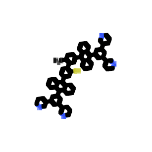 Cc1ccc(-c2c3ccccc3c(C3=CC(c4cccnc4)CC(c4cccnc4)=C3)c3ccccc23)cc1-c1ccc(-c2c3ccccc3c(-c3cc(C4=CCCN=C4)cc(C4=CN=CCC4)c3)c3ccccc23)cc1S